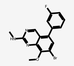 CNc1ncc2c(-c3cccc(F)c3)cc(Br)c(OC)c2n1